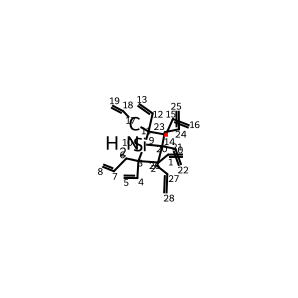 C=CCC(C=C)(CC=C)[Si](N)(C(C=C)(CC=C)CC=C)C(C=C)(CC=C)CC=C